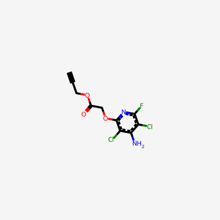 C#CCOC(=O)COc1nc(F)c(Cl)c(N)c1Cl